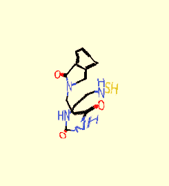 O=C1NC(=O)C(CNS)(CN2Cc3ccccc3C2=O)N1